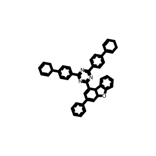 C1=CCC(c2ccc(-c3nc(C4=CC(c5ccccc5)=CC5Oc6ccccc6C45)nc(-c4ccc(C5=CCCC=C5)cc4)n3)cc2)C=C1